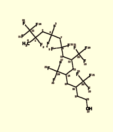 CC(F)(CC(F)(F)CC(F)(F)CC(CC(CC(CCO)C(F)(F)F)C(F)(F)F)C(F)(F)F)C(F)(F)F